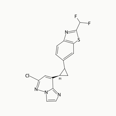 FC(F)c1nc2ccc(C3C[C@H]3c3cc(Cl)nn4ccnc34)cc2s1